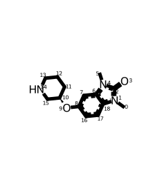 Cn1c(=O)n(C)c2cc(O[C@H]3CCCNC3)ccc21